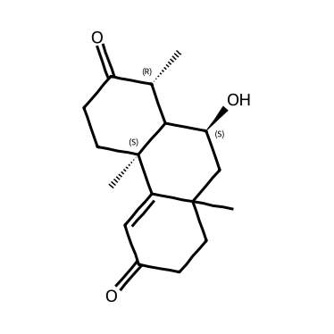 C[C@H]1C(=O)CC[C@]2(C)C3=CC(=O)CCC3(C)C[C@H](O)C12